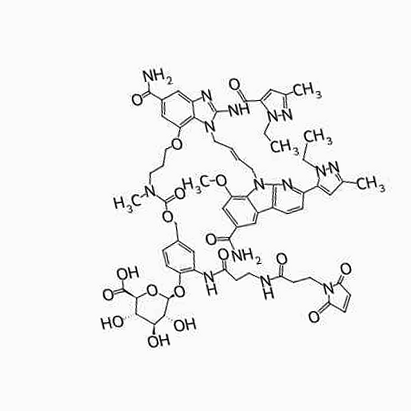 CCn1nc(C)cc1C(=O)Nc1nc2cc(C(N)=O)cc(OCCCN(C)C(=O)OCc3ccc(O[C@@H]4O[C@H](C(=O)O)[C@@H](O)[C@H](O)[C@H]4O)c(NC(=O)CCNC(=O)CCN4C(=O)C=CC4=O)c3)c2n1C/C=C/Cn1c2nc(-c3cc(C)nn3CC)ccc2c2cc(C(N)=O)cc(OC)c21